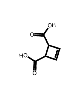 O=C(O)C1C=CC1C(=O)O